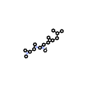 CC1CC=CC=C1n1c2ccc(-n3c4ccccc4c4cc(-c5ccc6c(c5)c5ccccc5n6-c5ccccc5)ccc43)cc2c2ccc(-c3ccc4c5ccc(-c6cccc(-c7cc(-c8ccccc8)cc(-c8ccccc8)c7)c6)cc5c5ccccc5c4c3)cc21